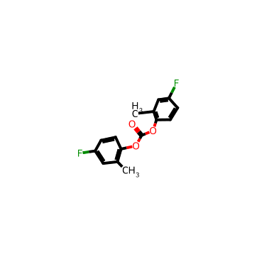 Cc1cc(F)ccc1OC(=O)Oc1ccc(F)cc1C